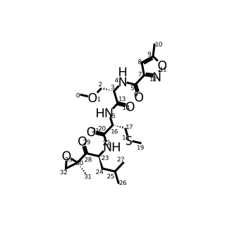 COC[C@H](NC(=O)c1cc(C)on1)C(=O)N[C@H](CSC)C(=O)N[C@@H](CC(C)C)C(=O)[C@@]1(C)CO1